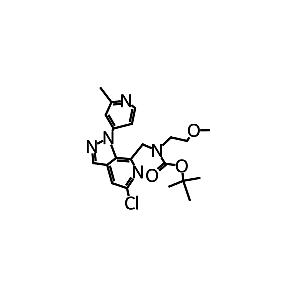 COCCN(Cc1nc(Cl)cc2cnn(-c3ccnc(C)c3)c12)C(=O)OC(C)(C)C